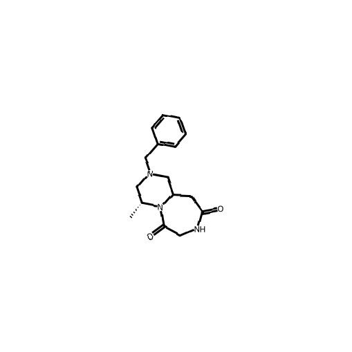 C[C@@H]1CN(Cc2ccccc2)CC2CC(=O)NCC(=O)N21